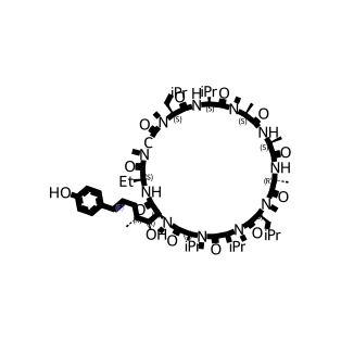 CC[C@@H]1NC(=O)[C@H]([C@H](O)[C@H](C)C/C=C/c2ccc(O)cc2)N(C)C(=O)[C@H](C(C)C)N(C)C(=O)C(C(C)C)N(C)C(=O)[C@H](CC(C)C)N(C)C(=O)[C@@H](C)NC(=O)[C@H](C)NC(=O)[C@H](C)N(C)C(=O)[C@H](C(C)C)NC(=O)[C@H](CC(C)C)N(C)C(=O)CN(C)C1=O